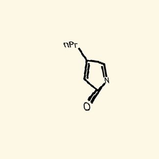 CCCC1=CC(=O)N=C1